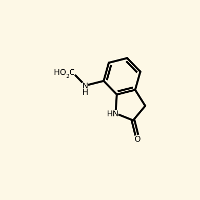 O=C(O)Nc1cccc2c1NC(=O)C2